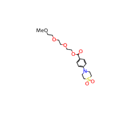 COCCOCCOCCOC(=O)c1ccc(N2CCS(=O)(=O)CC2)cc1